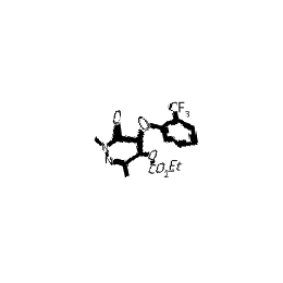 CCOC(=O)OC1C(C)=NN(C)C(=O)C1Oc1ccccc1C(F)(F)F